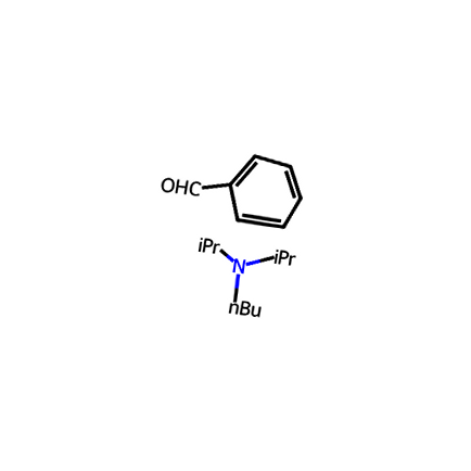 CCCCN(C(C)C)C(C)C.O=Cc1ccccc1